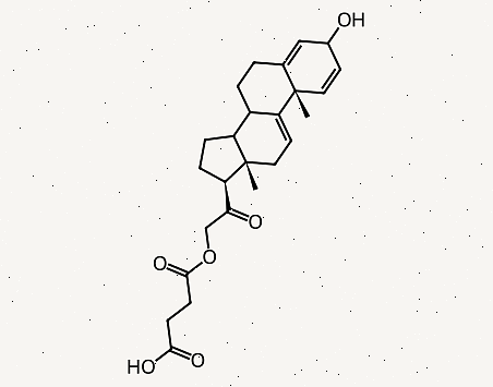 C[C@]12C=CC(O)C=C1CCC1C2=CC[C@@]2(C)C1CC[C@@H]2C(=O)COC(=O)CCC(=O)O